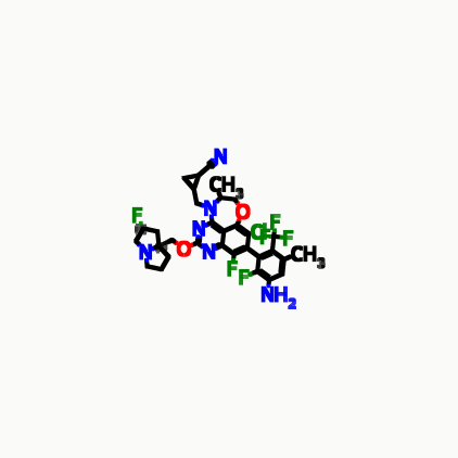 Cc1cc(N)c(F)c(-c2c(Cl)c3c4c(nc(OC[C@@]56CCCN5C[C@H](F)C6)nc4c2F)N(CC2CC2C#N)C(C)CO3)c1C(F)(F)F